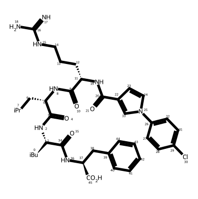 CC[C@H](C)[C@H](NC(=O)[C@H](CC(C)C)NC(=O)[C@H](CCCNC(=N)N)NC(=O)c1ccn(-c2ccc(Cl)cc2)c1)C(=O)N[C@@H](Cc1ccccc1)C(=O)O